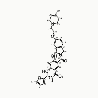 Cc1ccc(CN(C)C(=O)c2cc(C(=O)N3Cc4ccc(OCCN5CCN(C)CC5)cc4C3)c(O)cc2O)o1